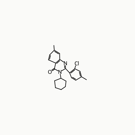 Cc1ccc(-c2nc3cc(C)ccc3c(=O)n2C2CCCCC2)c(Cl)c1